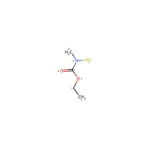 CCOC(=O)N(C)S